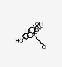 C[C@]12CC[C@@H]3c4ccc(O)cc4C[C@@H](CCCCCCl)[C@H]3[C@@H]1C[C@@H](F)[C@@H]2O